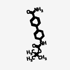 CC(C)(C)OC(=O)NC1CC=C(c2ccc(C(N)=O)cc2)CC1